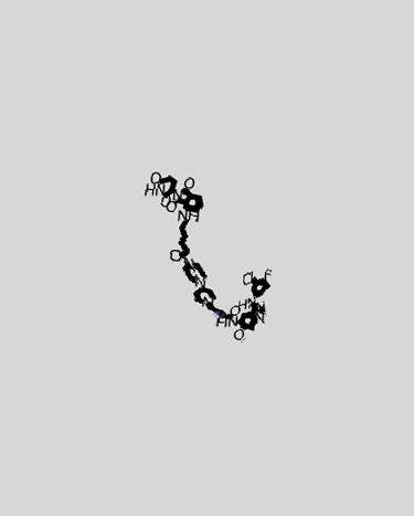 COc1cc2ncnc(Nc3ccc(F)c(Cl)c3)c2cc1NC(=O)/C=C/CN1CCC(N2CCN(C(=O)CCCCCNc3cccc4c3C(=O)N(C3CCC(=O)NC3=O)C4=O)CC2)CC1